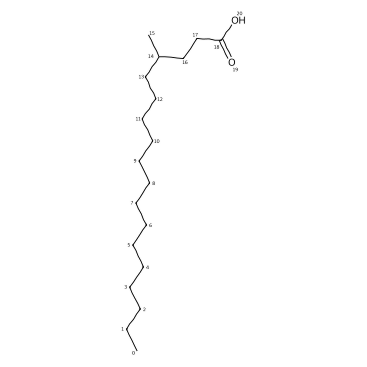 CCCCCCCCCCCCCCC(C)CCC(=O)O